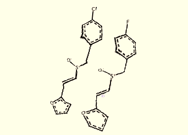 [O-][S+](/C=C/c1ccco1)Cc1ccc(F)cc1.[O-][S+](C=Cc1ccco1)Cc1ccc(Cl)cc1